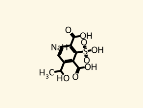 CC(O)c1ccc(C(=O)O)c(S(=O)(=O)O)c1C(=O)O.[NaH]